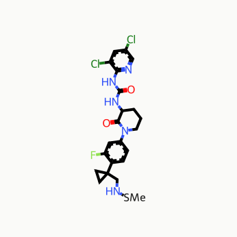 CSNCC1(c2ccc(N3CCCC(NC(=O)Nc4ncc(Cl)cc4Cl)C3=O)cc2F)CC1